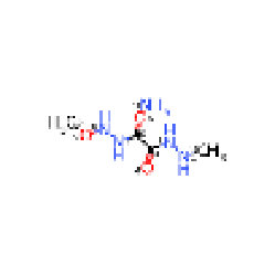 CNNC(=O)C(=O)NNOC.N